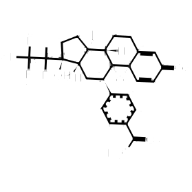 CC(=O)c1ccc([C@H]2C[C@@]3(C)[C@@H](CC[C@@]3(O)C(F)(F)C(F)(F)F)[C@@H]3CCC4=CC(=O)C=C[C@]45O[C@]235)cc1